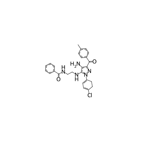 Cc1ccc(C(=O)c2nn(C3=CC=C(Cl)CC3)c(NCCNC(=O)c3ccccc3)c2N)cc1